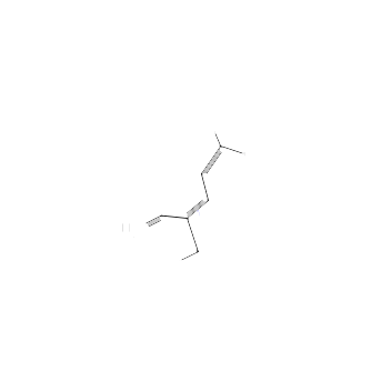 C=C/C(=C\C=C(C)C)CO